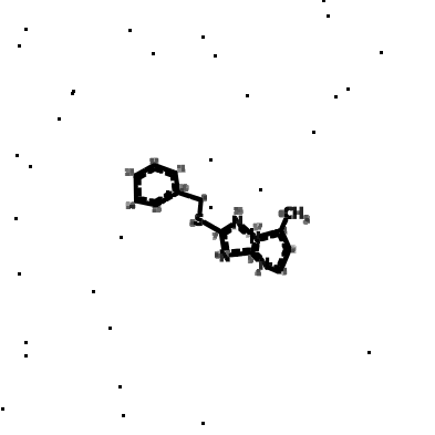 Cc1ccnc2nc(SCc3ccccc3)nn12